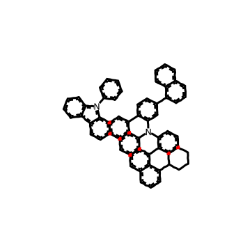 c1ccc(-c2ccc(-c3cccc4ccccc34)cc2N(c2cccc(-c3ccc4c5ccccc5n(-c5ccccc5)c4c3)c2)c2ccccc2-c2cccc3cccc(C4CCCCC4)c23)cc1